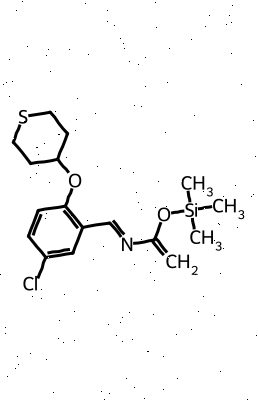 C=C(N=Cc1cc(Cl)ccc1OC1CCSCC1)O[Si](C)(C)C